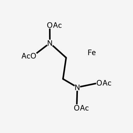 CC(=O)ON(CCN(OC(C)=O)OC(C)=O)OC(C)=O.[Fe]